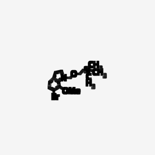 COc1c(Br)ccc2ccn(COCC[Si](C)(C)C)c12